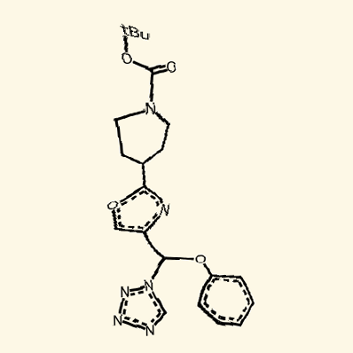 CC(C)(C)OC(=O)N1CCC(c2nc(C(Oc3ccccc3)n3cnnn3)co2)CC1